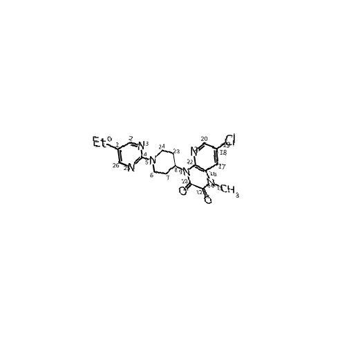 CCc1cnc(N2CCC(n3c(=O)c(=O)n(C)c4cc(Cl)cnc43)CC2)nc1